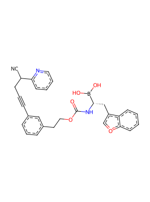 N#CC(CC#Cc1cccc(CCOC(=O)N[C@@H](Cc2coc3ccccc23)B(O)O)c1)c1ccccn1